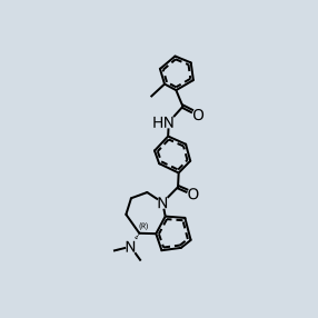 Cc1ccccc1C(=O)Nc1ccc(C(=O)N2CCC[C@@H](N(C)C)c3ccccc32)cc1